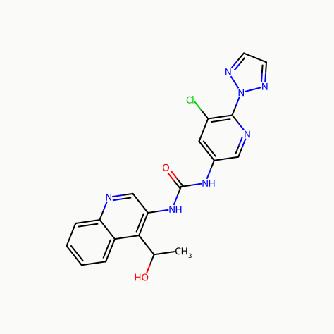 CC(O)c1c(NC(=O)Nc2cnc(-n3nccn3)c(Cl)c2)cnc2ccccc12